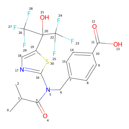 CC(C)C(=O)N(Cc1ccc(C(=O)O)cc1)c1ncc(C(O)(C(F)(F)F)C(F)(F)F)s1